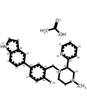 CC(=O)O.CN1CCN(Cc2cc(-c3ccc4[nH]ccc4c3)ccc2F)C(c2ccccn2)C1